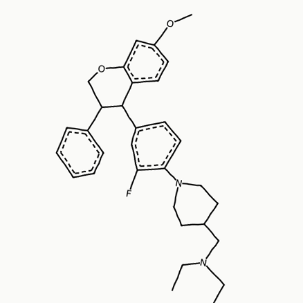 CCN(CC)CC1CCN(c2ccc(C3c4ccc(OC)cc4OCC3c3ccccc3)cc2F)CC1